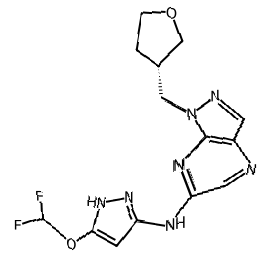 FC(F)Oc1cc(Nc2cnc3cnn(C[C@@H]4CCOC4)c3n2)n[nH]1